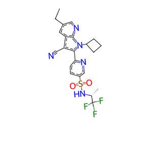 CCc1cnc2c(c1)c(C#N)c(-c1ccc(S(=O)(=O)N[C@H](C)C(F)(F)F)cn1)n2C1CCC1